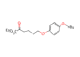 CCCCOc1ccc(OCCCCC(=O)C(=O)OCC)cc1